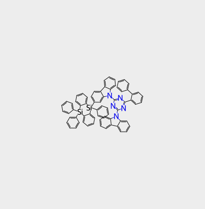 c1ccc(-c2ccccc2-c2nc(-n3c4ccccc4c4ccccc43)nc(-n3c4ccccc4c4ccc([Si]5(c6ccccc6)c6ccccc6[Si](c6ccccc6)(c6ccccc6)c6ccccc65)cc43)n2)cc1